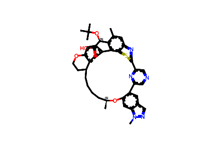 Cc1cc2nc3sc2c(c1[C@H](OC(C)(C)C)C(=O)O)-c1ccc2c(c1)C(CCCC[C@H](C)Oc1cc4c(cnn4C)cc1-c1cncc-3n1)CCO2